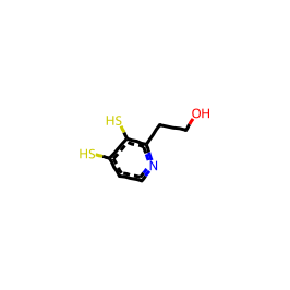 OCCc1nccc(S)c1S